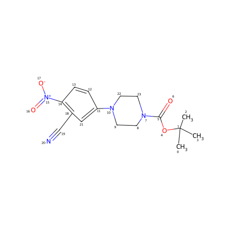 CC(C)(C)OC(=O)N1CCN(c2ccc([N+](=O)[O-])c(C#N)c2)CC1